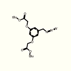 CC(C)(C)OC(=O)COc1cc(CN=[N+]=[N-])cc(OCC(=O)OC(C)(C)C)c1